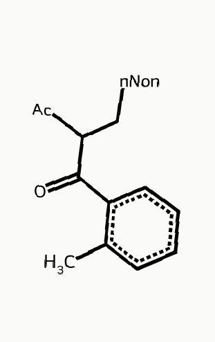 CCCCCCCCCCC(C(C)=O)C(=O)c1ccccc1C